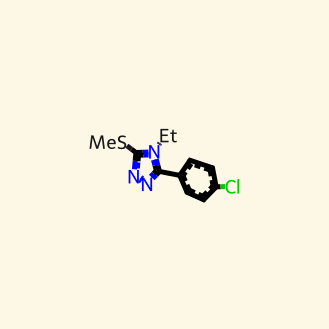 [CH2]Sc1nnc(-c2ccc(Cl)cc2)n1CC